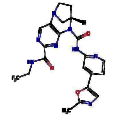 Cc1ncc(-c2ccnc(NC(=O)N3c4nc(C(=O)NCC(F)(F)F)ncc4N4CC[C@H]3C4)c2)o1